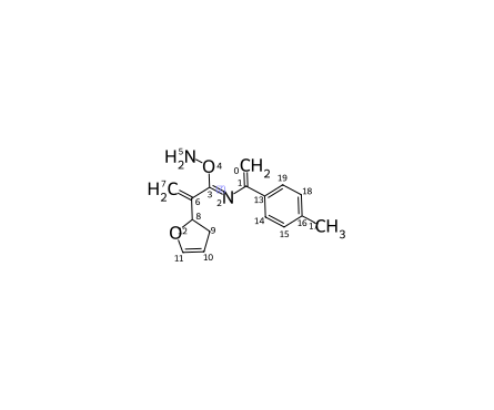 C=C(/N=C(\ON)C(=C)C1CC=CO1)c1ccc(C)cc1